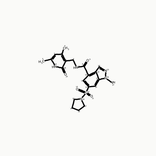 Cc1cc(C)c(CNC(=O)c2cc(S(=O)(=O)N3CCCC3)cc3c2cnn3C(C)C)c(=O)[nH]1